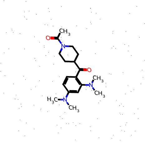 CC(=O)N1CCC(C(=O)c2ccc(N(C)C)cc2N(C)C)CC1